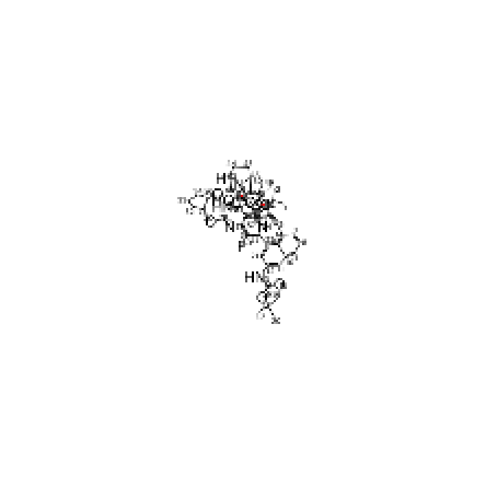 CC(C)[Si](C#Cc1cccc2cc(NC(=O)OC(C)(C)C)cc(-c3nc4c5c(nc(O[C@@H]6CCC[C@H]6O)nc5c3F)N3C[C@H]5CCC(C3[C@H](C)O4)N5C(=O)O)c12)(C(C)C)C(C)C